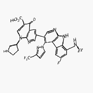 CCNc1cc(F)cc2c1[nH]c1ncc(-c3cnc4c(c3)c(=O)c(C(=O)O)cn4C3CCNC3)c(-n3ccc(C(F)(F)F)n3)c12